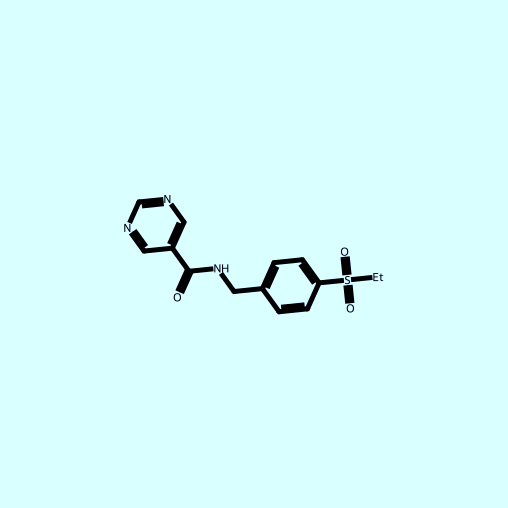 CCS(=O)(=O)c1ccc(CNC(=O)c2cncnc2)cc1